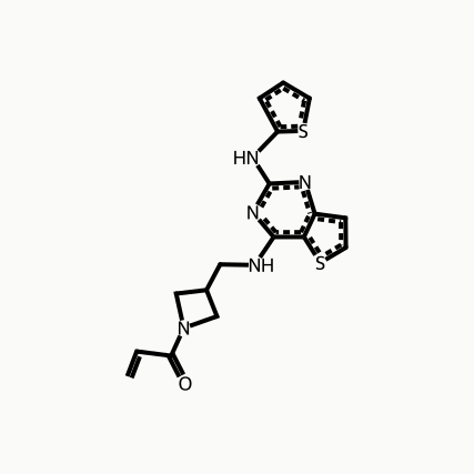 C=CC(=O)N1CC(CNc2nc(Nc3cccs3)nc3ccsc23)C1